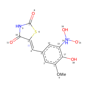 COc1cc(/C=C2\SC(=O)NC2=O)cc([NH+]([O-])O)c1O